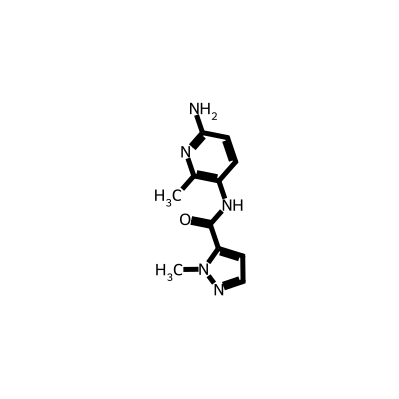 Cc1nc(N)ccc1NC(=O)c1ccnn1C